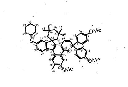 COc1ccc(C2(c3ccc(OC)cc3)C=Cc3c4c(c5cc(C)c(SC)cc5c3O2)-c2ccc(SC3CCCCC3)cc2C42CC(C)(C)CC(C)(C)C2)cc1